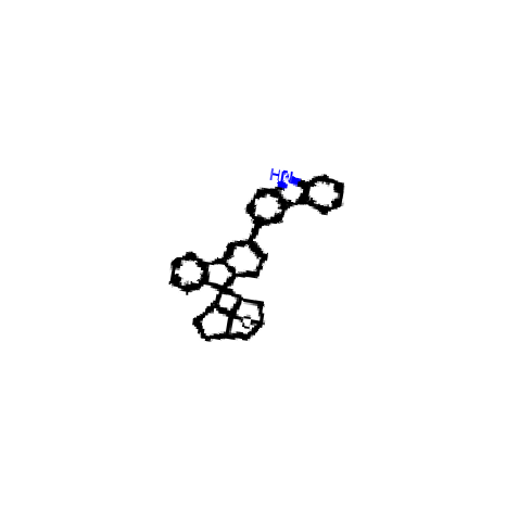 C1=C(c2ccc3[nH]c4ccccc4c3c2)C=C2c3ccccc3C3(C2C1)C1CC2CC4CC3C1(C2)C4